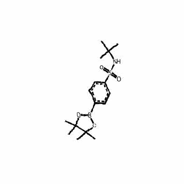 CC(C)(C)NS(=O)(=O)c1ccc(B2OC(C)(C)C(C)(C)O2)cc1